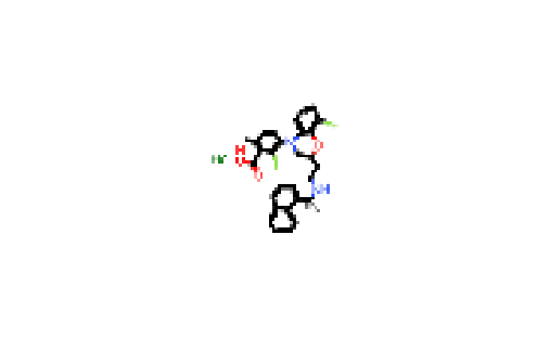 Cc1ccc(N2CC(CCN[C@H](C)c3cccc4ccccc34)Oc3c(F)cccc32)c(F)c1C(=O)O.Cl